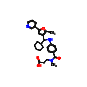 Cc1oc(-c2cccnc2)cc1C(Nc1ccc(C(=O)N(C)CCC(=O)O)cc1)C1CCCCC1